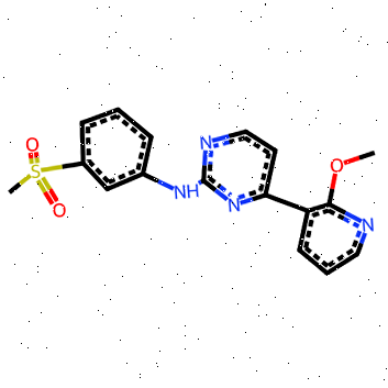 COc1ncccc1-c1ccnc(Nc2cccc(S(C)(=O)=O)c2)n1